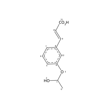 CC(O)Oc1cccc(/C=C/C(=O)O)c1